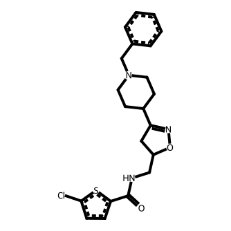 O=C(NCC1CC(C2CCN(Cc3ccccc3)CC2)=NO1)c1ccc(Cl)s1